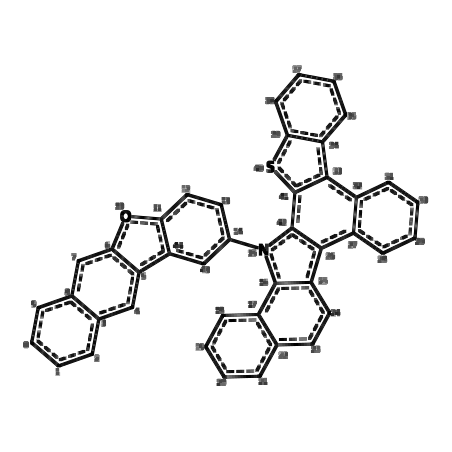 c1ccc2cc3c(cc2c1)oc1ccc(-n2c4c5ccccc5ccc4c4c5ccccc5c5c6ccccc6sc5c42)cc13